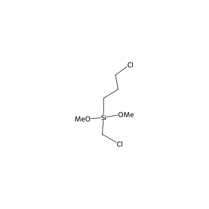 CO[Si](CCl)(CCCCl)OC